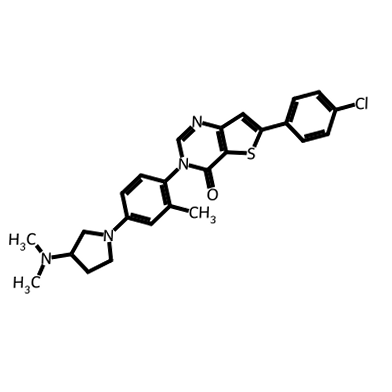 Cc1cc(N2CCC(N(C)C)C2)ccc1-n1cnc2cc(-c3ccc(Cl)cc3)sc2c1=O